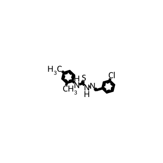 Cc1ccc(NC(=S)N/N=C/c2cccc(Cl)c2)c(C)c1